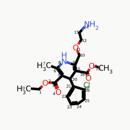 CCOC(=O)C1=C(C)NC(COCCN)=C(C(=O)OC)C1c1ccccc1Cl